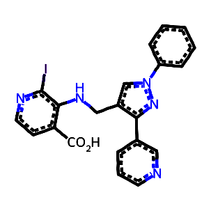 O=C(O)c1ccnc(I)c1NCc1cn(-c2ccccc2)nc1-c1cccnc1